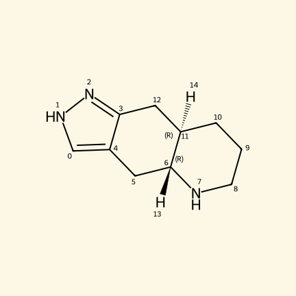 c1[nH]nc2c1C[C@H]1NCCC[C@@H]1C2